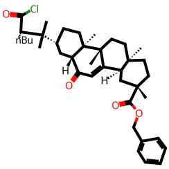 CCCC[C@H](C(=O)Cl)C(C)(C)[C@@H]1CC[C@]2(C)[C@@H](C1)C(=O)C=C1[C@@H]3C[C@@](C)(C(=O)OCc4ccccc4)CC[C@]3(C)CC[C@]12C